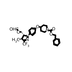 C[C@@H]1C(C(F)(F)F)=NN(c2ccc(OC3CCN(C(=O)OCc4ccccc4)CC3)cc2)[C@H]1COC=O